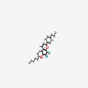 CCCCCC1CCc2c3c(c(F)c(F)c2O1)OC(C1CCC(CCC)CC1)C=C3